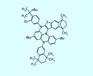 CCCCC(C)(C)c1ccc(N2c3cc(C(C)(C)C)cc4c3B(c3cc(C(C)(C)C)ccc3N4c3ccc4c(c3)C(C)(C)CCC4(C)C)c3c2sc2cc4c(cc32)C2(C)CCC4(C)CC2)cc1CC